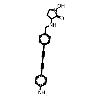 Nc1ccc(C#CC#Cc2ccc(CNC3CCN(O)C3=O)cc2)cc1